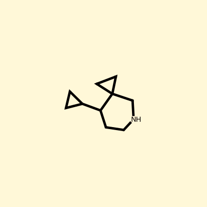 C1CC(C2CC2)C2(CC2)CN1